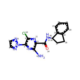 Nc1nc(-n2nccn2)c(Cl)nc1C(=O)N[C@@H]1CCc2ccccc21